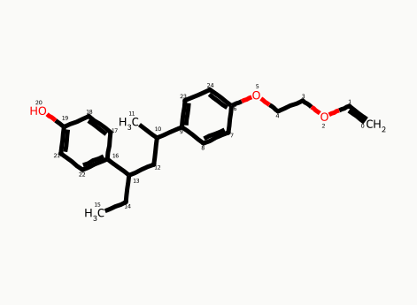 C=COCCOc1ccc(C(C)CC(CC)c2ccc(O)cc2)cc1